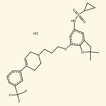 CC1(C)Cc2cc(NS(=O)(=O)C3CC3)cc(OCCCN3CC=C(c4cccc(C(F)(F)F)c4)CC3)c2O1.Cl